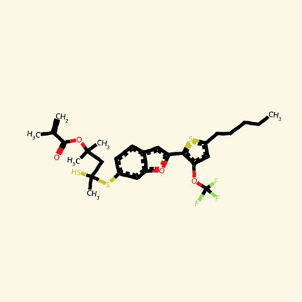 C=C(C)C(=O)OC(C)(C)CC(C)(S)Sc1ccc2cc(-c3sc(CCCCC)cc3OC(F)(F)F)oc2c1